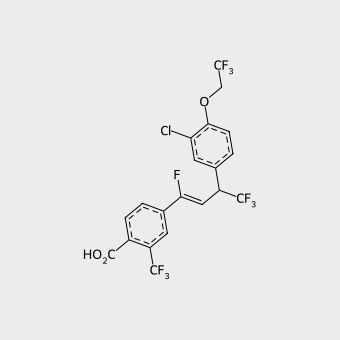 O=C(O)c1ccc(C(F)=CC(c2ccc(OCC(F)(F)F)c(Cl)c2)C(F)(F)F)cc1C(F)(F)F